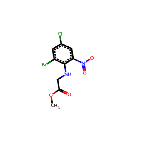 COC(=O)CNc1c(Br)cc(Cl)cc1[N+](=O)[O-]